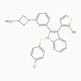 N#Cc1sccc1-c1c(-c2cccc(N3CC(C(=O)O)C3)c2)n(Sc2ccc(Cl)cc2)c2ccccc12